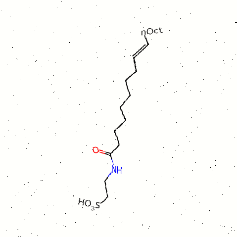 CCCCCCCCC=CCCCCCCCC(=O)NCCS(=O)(=O)O